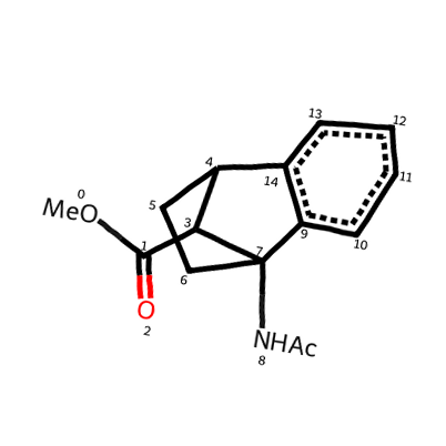 COC(=O)C1C2CCC1(NC(C)=O)c1ccccc12